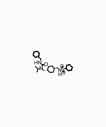 CC(C)N(C[C@H]1CC[C@H](CNS(=O)(=O)c2ccccc2)CC1)C(=O)NCc1ccccc1